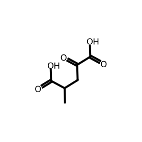 CC(CC(=O)C(=O)O)C(=O)O